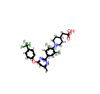 Cc1cc(Oc2ccc(C(F)(F)F)cc2)nc(-c2cc(F)c(N3CCC(CC(=O)O)CC3)c(F)c2)n1